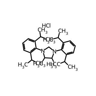 CC(C)c1cccc(C(C)C)c1N1CN(c2c(C(C)C)cccc2C(C)C)C(C)C1C.Cl